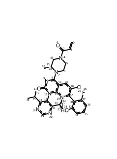 C=CC(=O)N1CCN(c2nc(=O)n(-c3c(C(C)C)ncnc3C(C)C)c3c2cc(Cl)c(-c2c(O)cccc2F)[n+]3[O-])[C@@H](C)C1